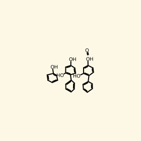 C=O.Oc1ccc(-c2ccccc2)c(O)c1.Oc1ccc(-c2ccccc2)c(O)c1.Oc1ccccc1